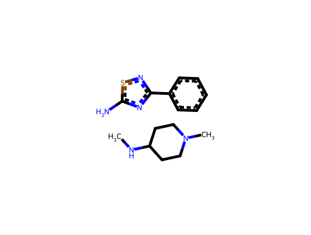 CNC1CCN(C)CC1.Nc1nc(-c2ccccc2)ns1